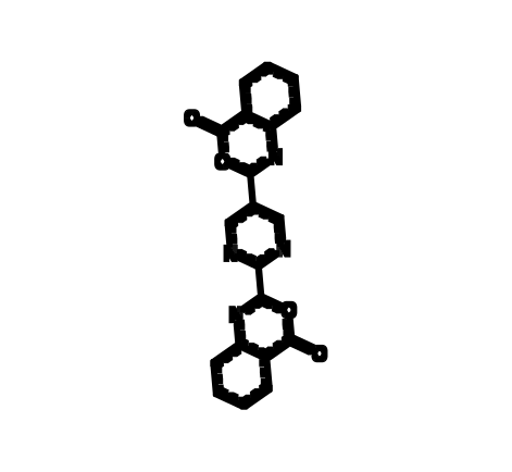 O=c1oc(-c2cnc(-c3nc4ccccc4c(=O)o3)nc2)nc2ccccc12